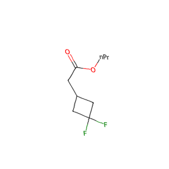 CCCOC(=O)CC1CC(F)(F)C1